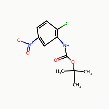 CC(C)(C)OC(=O)Nc1cc([N+](=O)[O-])ccc1Cl